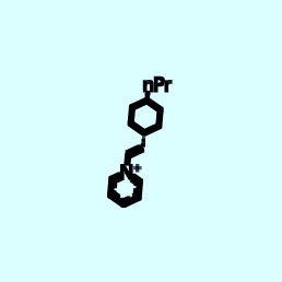 CCC[C@H]1CC[C@H](/C=C/[n+]2ccccc2)CC1